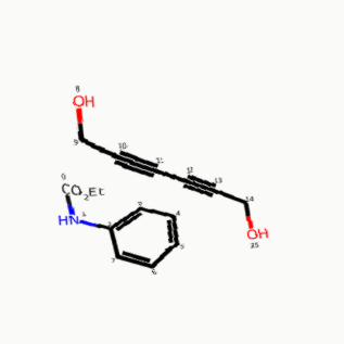 CCOC(=O)Nc1ccccc1.OCC#CC#CCO